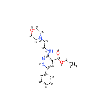 CCOC(=O)c1cc(-c2ccccc2)nnc1NCCN1CCOCC1